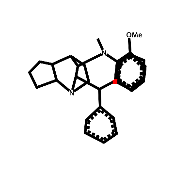 COc1ccccc1N(C)C1C2CCN(C3CCCC23)C1C(c1ccccc1)c1ccccc1